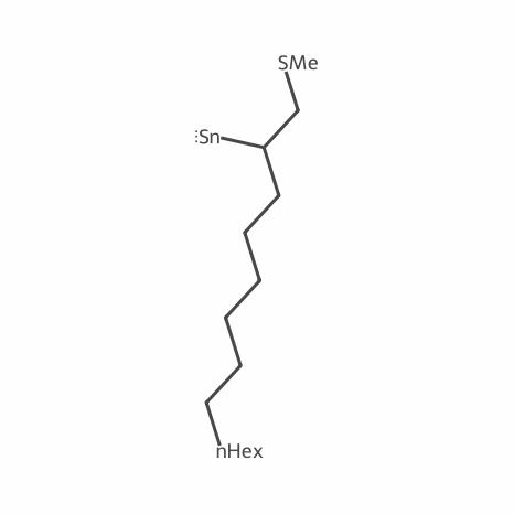 CCCCCCCCCCCC[CH]([Sn])CSC